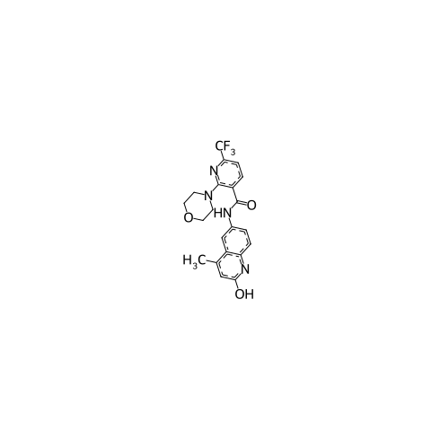 Cc1cc(O)nc2ccc(NC(=O)c3ccc(C(F)(F)F)nc3N3CCOCC3)cc12